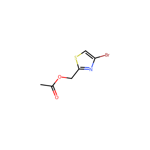 CC(=O)OCc1nc(Br)cs1